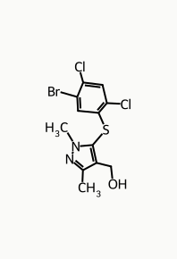 Cc1nn(C)c(Sc2cc(Br)c(Cl)cc2Cl)c1CO